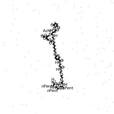 CCCCC[C@H](NC(=O)[C@H](CCCCC)NC(=O)[C@H](CCCCC)NC(=O)COCCOCCNC(=O)CCNC(=O)c1ccc(SSCCCCCCN(CCNC(=O)[C@H](CC(=O)ON2C(=O)CCC2=O)NC(C)=O)C(=O)OCc2oc(=O)oc2C)nc1)C(N)=O